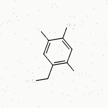 CC(C)(C)c1cc(O)c(CN)cc1Br